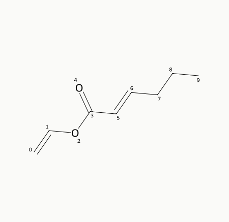 C=COC(=O)C=CCCC